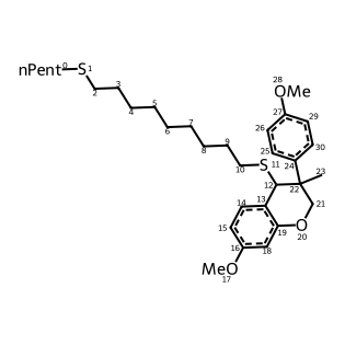 CCCCCSCCCCCCCCCSC1c2ccc(OC)cc2OCC1(C)c1ccc(OC)cc1